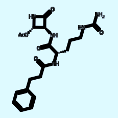 CC(=O)O[C@@H]1NC(=O)[C@H]1NC(=O)[C@H](CCCNC(N)=O)NC(=O)CCc1ccccc1